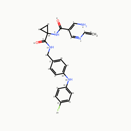 C=C/N=C\C(=C/N)C(=O)NC1(C(=O)NCc2ccc(Nc3ccc(F)cc3)cc2)CC1